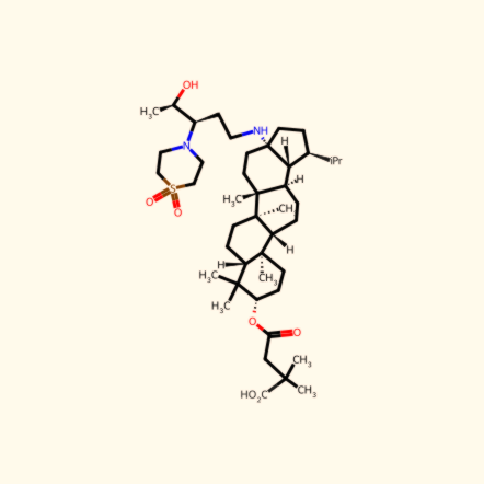 CC(C)[C@@H]1CC[C@]2(NCC[C@H]([C@@H](C)O)N3CCS(=O)(=O)CC3)CC[C@]3(C)[C@H](CC[C@@H]4[C@@]5(C)CC[C@H](OC(=O)CC(C)(C)C(=O)O)C(C)(C)[C@@H]5CC[C@]43C)[C@@H]12